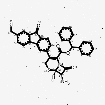 N[C@@H]1C(=O)N2C(C(=O)OC(c3ccccc3)c3ccccc3)=C(c3ccc4c(c3)-c3ccc(CCl)cc3C4=O)CS[C@@H]12